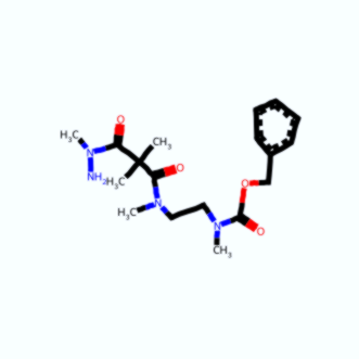 CN(N)C(=O)C(C)(C)C(=O)N(C)CCN(C)C(=O)OCc1ccccc1